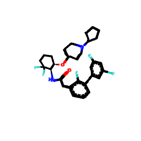 O=C(Cc1cccc(-c2cc(F)cc(F)c2)c1F)N[C@@H]1[C@@H](OC2CCN(C3CCCC3)CC2)CCCC1(F)F